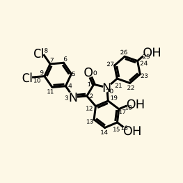 O=C1C(=Nc2ccc(Cl)c(Cl)c2)c2ccc(O)c(O)c2N1c1ccc(O)cc1